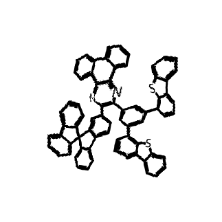 c1ccc2c(c1)-c1ccccc1C21c2ccccc2-c2ccc(-c3nc4c5ccccc5c5ccccc5c4nc3-c3cc(-c4cccc5c4sc4ccccc45)cc(-c4cccc5c4sc4ccccc45)c3)cc21